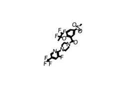 CC(F)(Oc1ccc(S(C)(=O)=O)cc1C(=O)N1CCN(c2ncc(C(F)(F)F)cc2F)CC1)C(F)F